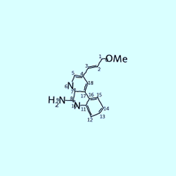 COCC=Cc1cnc2c(N)nc3ccccc3c2c1